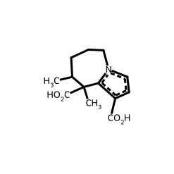 CC1CCCn2ccc(C(=O)O)c2C1(C)C(=O)O